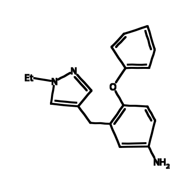 CCn1cc(Cc2cc(N)ccc2Oc2ccccc2)cn1